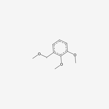 CO[CH]c1cccc(OC)c1OC